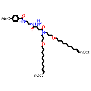 CCCCCCCCC=CCCCCCCCCOCCCN(CCCOCCCCCCCCC=CCCCCCCCC)C(=O)C[C@@H](N)C(=O)NCCNC(=O)c1ccc(OC)cc1